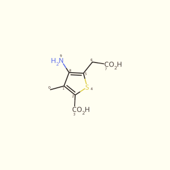 Cc1c(C(=O)O)sc(CC(=O)O)c1N